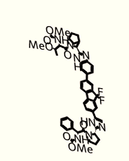 COC(=O)N[C@H](C(=O)N1C2CCC(C2)[C@H]1c1nc2ccc(-c3ccc4c(c3)C(F)(F)c3cc(-c5cnc([C@@H]6CCCN6C(=O)[C@H](NC(=O)OC)c6ccccc6)[nH]5)ccc3-4)cc2[nH]1)[C@@H](C)OC